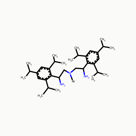 CC(C)c1cc(C(C)C)c(C(N)C[N]([Ni])CC(N)c2c(C(C)C)cc(C(C)C)cc2C(C)C)c(C(C)C)c1